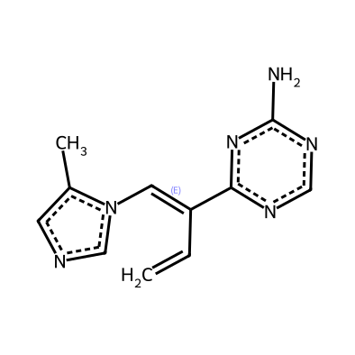 C=C/C(=C\n1cncc1C)c1ncnc(N)n1